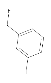 FCc1cccc(I)c1